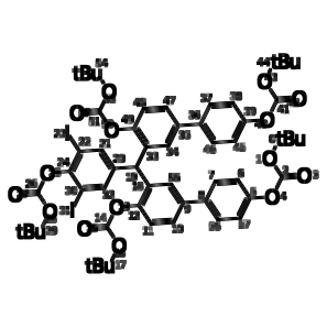 CC(C)(C)OC(=O)Oc1ccc(-c2ccc(OC(=O)OC(C)(C)C)c(C(c3cc(I)c(OC(=O)OC(C)(C)C)c(I)c3)c3cc(-c4ccc(OC(=O)OC(C)(C)C)cc4)ccc3OC(=O)OC(C)(C)C)c2)cc1